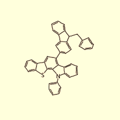 c1ccc(CC2c3ccccc3-c3cc(-c4cc5c6ccccc6sc5c5c4c4ccccc4n5-c4ccccc4)ccc32)cc1